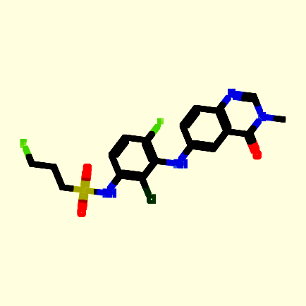 Cn1cnc2ccc(Nc3c(F)ccc(NS(=O)(=O)CCCF)c3Cl)cc2c1=O